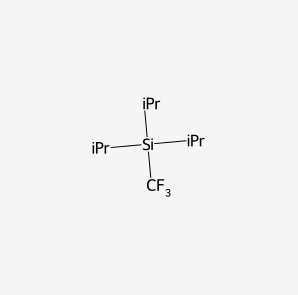 CC(C)[Si](C(C)C)(C(C)C)C(F)(F)F